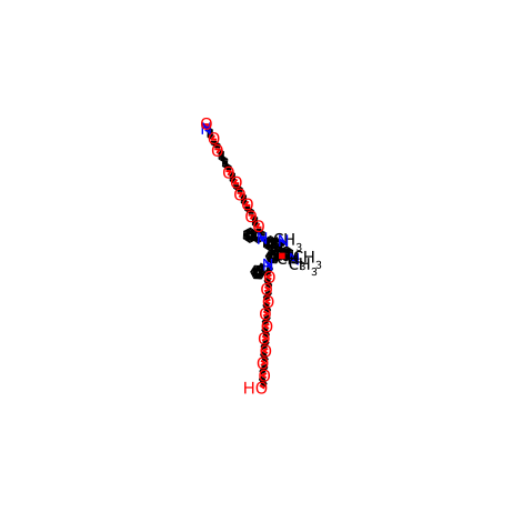 Cc1cc(N(CCOCCOCCOCCOCCOCCOCCCCCOCCOCCN=O)Cc2ccccc2)ccc1C(C#N)(c1ccc(N(C)C)cc1)c1ccc(N(CCOCCOCCOCCOCCOCCOCCOCCOCCOCCO)Cc2ccccc2)cc1C